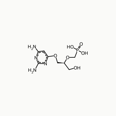 Nc1cc(OC[C@H](CO)OCP(=O)(O)O)nc(N)n1